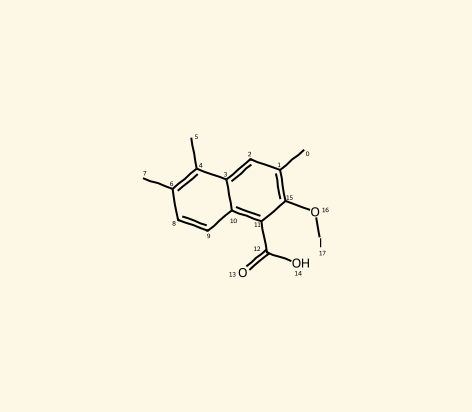 Cc1cc2c(C)c(C)ccc2c(C(=O)O)c1OI